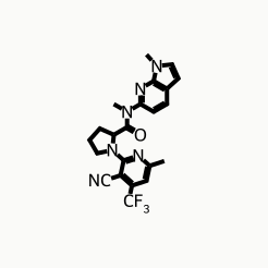 Cc1cc(C(F)(F)F)c(C#N)c(N2CCCC2C(=O)N(C)c2ccc3ccn(C)c3n2)n1